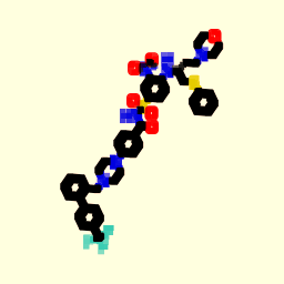 O=C(NS(=O)(=O)c1ccc(N[C@H](CCN2CCOCC2)CSc2ccccc2)c([N+](=O)[O-])c1)c1ccc(N2CCN(Cc3ccccc3-c3ccc(C(F)(F)F)cc3)CC2)cc1